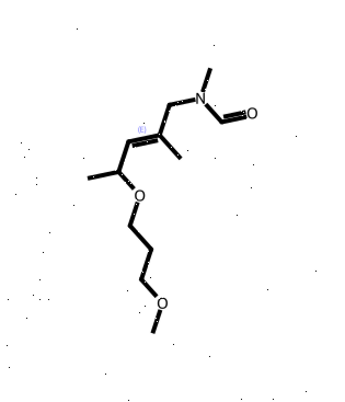 COCCCOC(C)/C=C(\C)CN(C)C=O